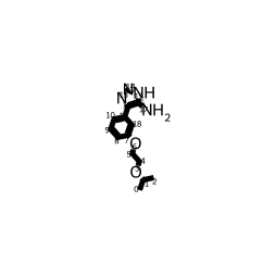 CC(C)OCCOc1cccc(-c2nn[nH]c2N)c1